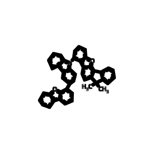 CC1(C)c2ccccc2-c2c1ccc1c2oc2cccc(-n3c4ccccc4c4cc(-c5cccc6c5oc5ccccc56)ccc43)c21